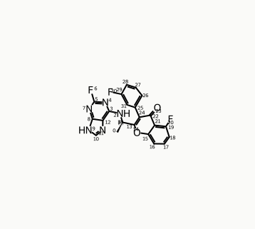 C[C@@H](Nc1nc(F)nc2[nH]cnc12)c1oc2cccc(F)c2c(=O)c1-c1cccc(F)c1